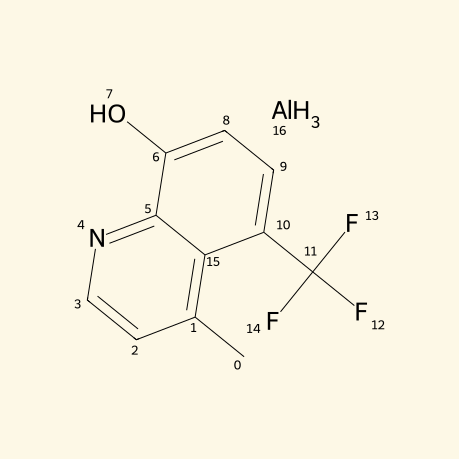 Cc1ccnc2c(O)ccc(C(F)(F)F)c12.[AlH3]